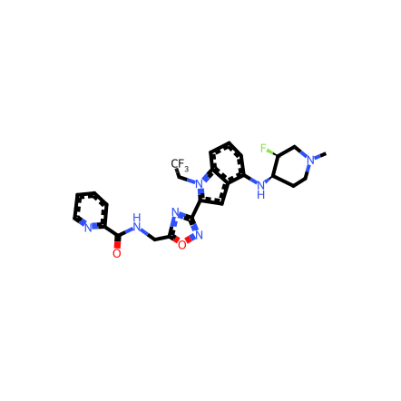 CN1CC[C@@H](Nc2cccc3c2cc(-c2noc(CNC(=O)c4ccccn4)n2)n3CC(F)(F)F)[C@@H](F)C1